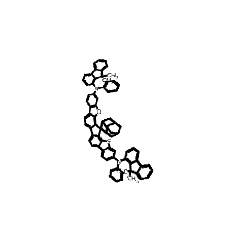 CC1(C)c2ccccc2-c2cccc(N(c3ccccc3)c3ccc4c(c3)oc3c5c(ccc34)-c3ccc4c(sc6cc(N(c7ccccc7)c7cccc8c7C(C)(C)c7ccccc7-8)ccc64)c3C53C4CC5CC(C4)CC3C5)c21